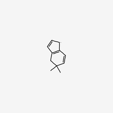 CC1(C)C=CC2=C(C=C[CH]2)C1